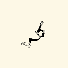 O=C(O)C=Cn1cnc(Br)n1